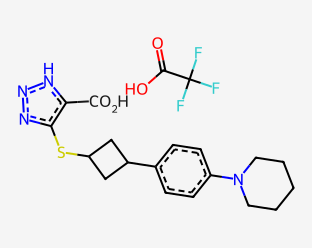 O=C(O)C(F)(F)F.O=C(O)c1[nH]nnc1SC1CC(c2ccc(N3CCCCC3)cc2)C1